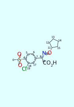 CS(=O)(=O)c1ccc(C(=NOC2CCCC2)C(=O)O)cc1Cl